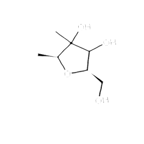 C[C@@H]1O[C@H](CO)C(O)C1(C)O